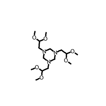 COC(CN1CN(CC(OC)OC)CN(CC(OC)OC)C1)OC